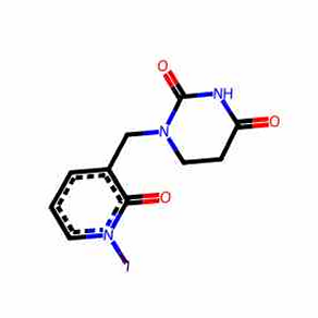 O=C1CCN(Cc2cccn(I)c2=O)C(=O)N1